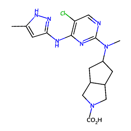 Cc1cc(Nc2nc(N(C)C3CC4CN(C(=O)O)CC4C3)ncc2Cl)n[nH]1